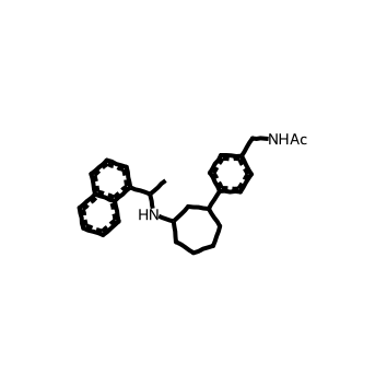 CC(=O)NCc1ccc(C2CCCCC(NC(C)c3cccc4ccccc34)C2)cc1